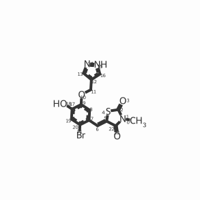 CN1C(=O)S/C(=C\c2cc(OCc3cn[nH]c3)c(O)cc2Br)C1=O